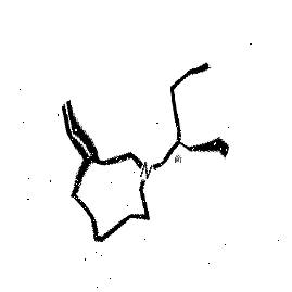 C=C1CCCN1[C@H](C)CC